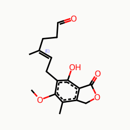 COc1c(C)c2c(c(O)c1C/C=C(\C)CCC=O)C(=O)OC2